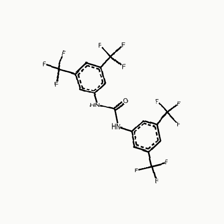 O=C(Nc1cc(C(F)(F)F)cc(C(F)(F)F)c1)Nc1cc(C(F)(F)F)cc(C(F)(F)F)c1